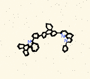 C1=Cc2c(c3cc(-c4cccc(-c5nc6c7ccccc7c7ccccc7c6c6ccccc56)c4)ccc3c3ccc(-c4ccc5ccc6ccc(-c7ccccc7)nc6c5n4)cc23)CC1